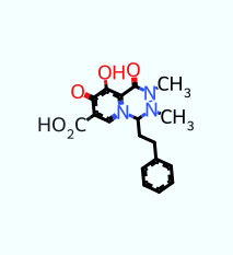 CN1C(=O)c2c(O)c(=O)c(C(=O)O)cn2C(CCc2ccccc2)N1C